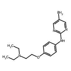 Bc1cnc(Nc2ccc(OCCN(CC)CC)cc2)nc1